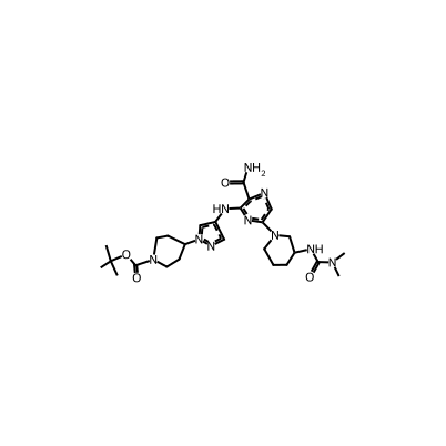 CN(C)C(=O)NC1CCCN(c2cnc(C(N)=O)c(Nc3cnn(C4CCN(C(=O)OC(C)(C)C)CC4)c3)n2)C1